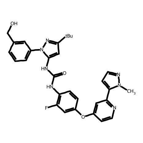 Cn1nccc1-c1cc(Oc2ccc(NC(=O)Nc3cc(C(C)(C)C)nn3-c3cccc(CO)c3)c(F)c2)ccn1